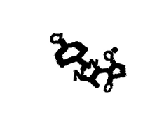 COC1=C(c2nc(-c3ccc(Cl)cc3)ncc2C)C(=O)CC1